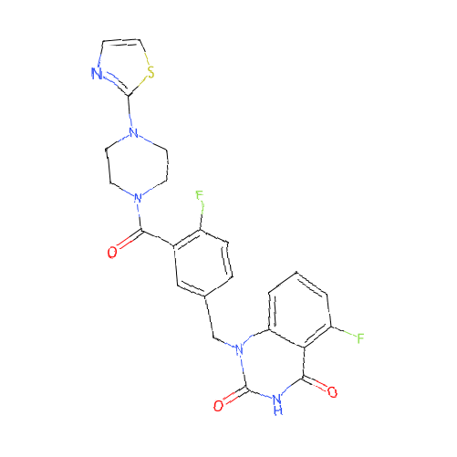 O=C(c1cc(Cn2c(=O)[nH]c(=O)c3c(F)cccc32)ccc1F)N1CCN(c2nccs2)CC1